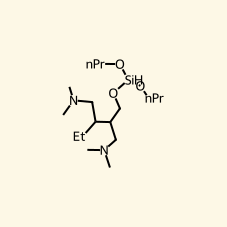 CCCO[SiH](OCCC)OCC(CN(C)C)C(CC)CN(C)C